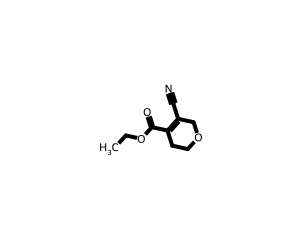 CCOC(=O)C1=C(C#N)COCC1